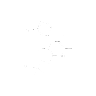 CCOC(=O)C1=C(C)NC(CSC(C)(C)OC)=C(C(=O)OCC)C1c1cccc([N+](=O)[O-])c1